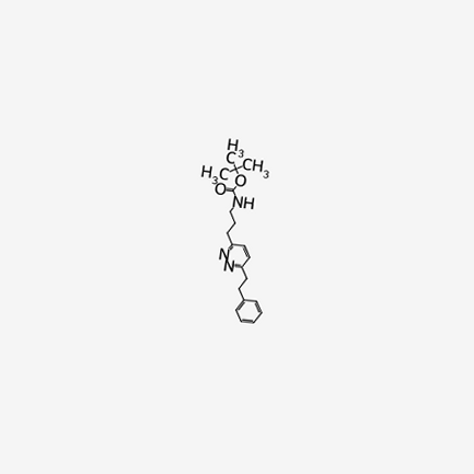 CC(C)(C)OC(=O)NCCCc1ccc(CCc2ccccc2)nn1